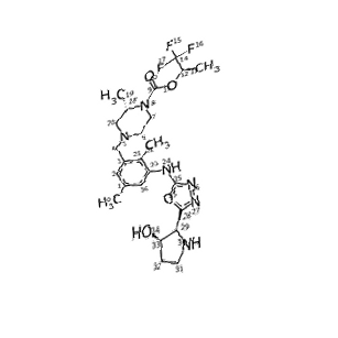 Cc1cc(CN2CCN(C(=O)O[C@H](C)C(F)(F)F)[C@@H](C)C2)c(C)c(Nc2nnc([C@H]3NCC[C@H]3O)o2)c1